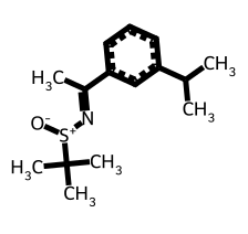 CC(=N[S+]([O-])C(C)(C)C)c1cccc(C(C)C)c1